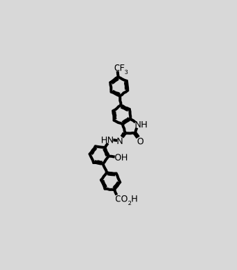 O=C1Nc2cc(-c3ccc(C(F)(F)F)cc3)ccc2C1=NNc1cccc(-c2ccc(C(=O)O)cc2)c1O